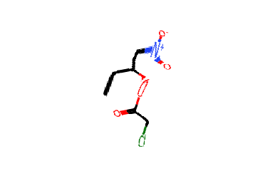 CCC(C[N+](=O)[O-])OC(=O)CCl